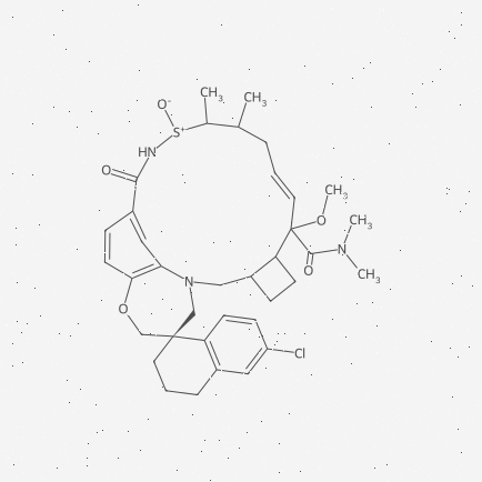 COC1(C(=O)N(C)C)/C=C/CC(C)C(C)[S+]([O-])NC(=O)c2ccc3c(c2)N(CC2CCC21)C[C@@]1(CCCc2cc(Cl)ccc21)CO3